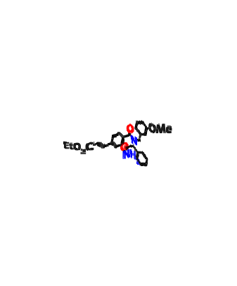 CCOC(=O)/C=C/c1ccc(C(=O)N(Cc2cccc(OC)c2)[C@@H](C(N)=O)c2ccccc2)cc1